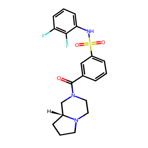 O=C(c1cccc(S(=O)(=O)Nc2cccc(F)c2F)c1)N1CCN2CCC[C@@H]2C1